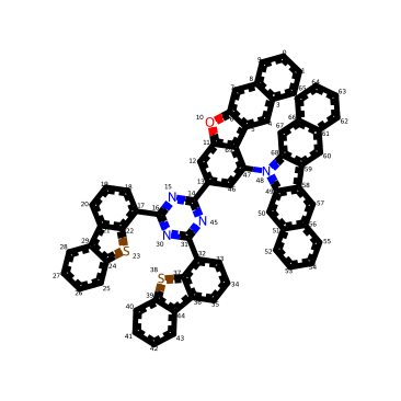 c1ccc2cc3c(cc2c1)oc1cc(-c2nc(-c4cccc5c4sc4ccccc45)nc(-c4cccc5c4sc4ccccc45)n2)cc(-n2c4cc5ccccc5cc4c4cc5ccccc5cc42)c13